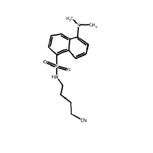 CN(C)c1cccc2c(S(=O)(=O)NCCCCC#N)cccc12